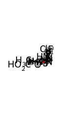 CN(C/C=C/C(=O)N1CCc2c(sc3ncnc(Nc4ccc(F)c(Cl)c4)c23)C1)CC(=O)O